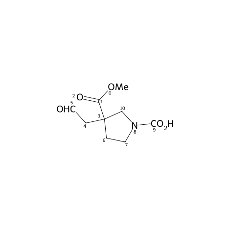 COC(=O)C1(CC=O)CCN(C(=O)O)C1